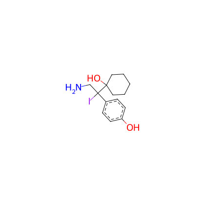 NCC(I)(c1ccc(O)cc1)C1(O)CCCCC1